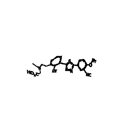 [C-]#[N+]c1cc(-c2ncc(-c3cccc(CCN(C)CC(=O)O)c3CC)s2)ccc1OC(C)C